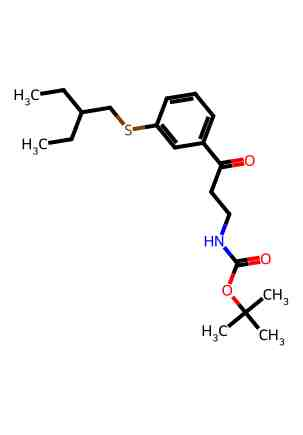 CCC(CC)CSc1cccc(C(=O)CCNC(=O)OC(C)(C)C)c1